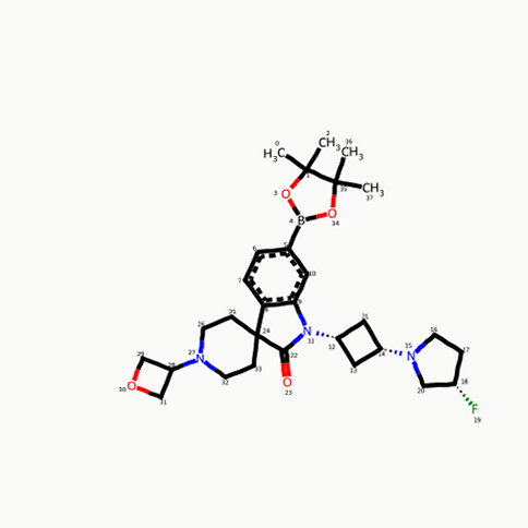 CC1(C)OB(c2ccc3c(c2)N([C@H]2C[C@@H](N4CC[C@H](F)C4)C2)C(=O)C32CCN(C3COC3)CC2)OC1(C)C